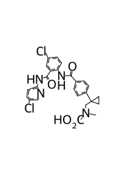 CN(CC1(c2ccc(C(=O)Nc3ccc(Cl)cc3C(=O)Nc3ccc(Cl)cn3)cc2)CC1)C(=O)O